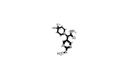 CSc1ncc(C(C(N)=O)N2CCC(F)(F)CC2)cn1